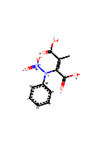 C/C(C(=O)O)=C(\C(=O)O)N(c1ccccc1)[N+](=O)[O-]